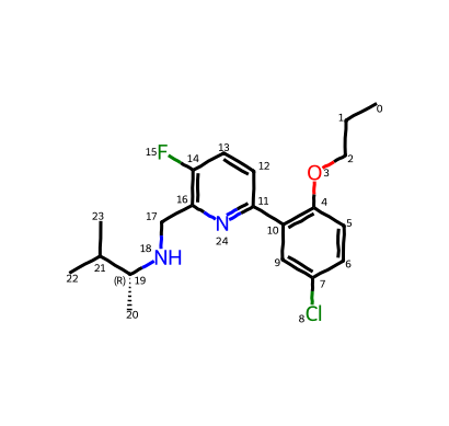 CCCOc1ccc(Cl)cc1-c1ccc(F)c(CN[C@H](C)C(C)C)n1